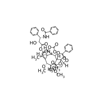 CO[C@H]1C(=O)[C@]2(C)[C@@H](OC)C[C@H]3OC[C@@]3(OC(C)=O)[C@H]2[C@H](OC(=O)c2ccccc2)[C@]23OC(=O)O[C@H]2[C@H](OC(=O)[C@H](O)[C@@H](NC(=O)c2ccccc2)c2ccccc2)C(C)=C1C3(C)C